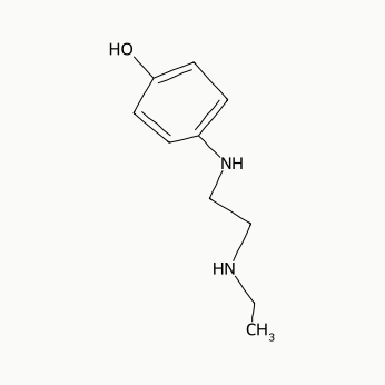 CCNCCNc1ccc(O)cc1